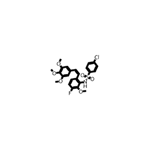 COc1cc(/C=C\c2ccc(F)c(OC)c2NS(=O)(=O)c2ccc(Cl)cc2)cc(OC)c1OC